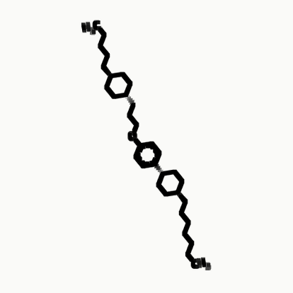 CCCCCCC[C@H]1CC[C@H](c2ccc(OCCC[C@H]3CC[C@H](CCCCC)CC3)cc2)CC1